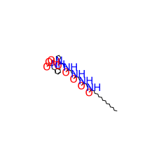 CCCCCCCCCCCCCC(=O)NCCC(=O)NCCC(=O)NCCC(=O)NCCC(=O)N1CCC[C@H]1C(=O)N[C@@H](Cc1ccccc1)C(=O)O